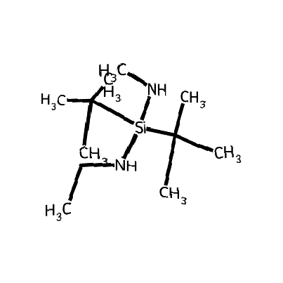 CCN[Si](NC)(C(C)(C)C)C(C)(C)C